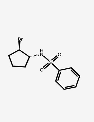 O=S(=O)(N[C@@H]1CCC[C@H]1Br)c1ccccc1